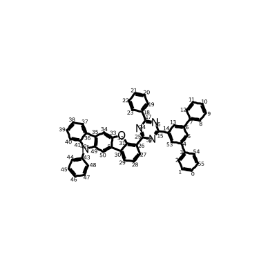 c1ccc(-c2cc(-c3ccccc3)cc(-c3nc(-c4ccccc4)nc(-c4cccc5c4oc4cc6c7ccccc7n(-c7ccccc7)c6cc45)n3)c2)cc1